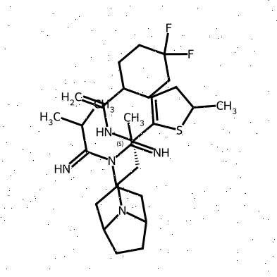 C=C(N[C@@H](CCN1C2CCC1CC(N(C(C)=N)C(=N)C(C)C)C2)C1=CCC(C)S1)C1CCC(F)(F)CC1